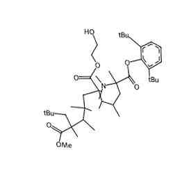 COC(=O)C(C)(CC(C)(C)C)C(C)C(C)(C)CC(C)(C(=O)OCCO)C(C)C(C)CC(C)(C(=O)Oc1c(C(C)(C)C)cccc1C(C)(C)C)N(C)C